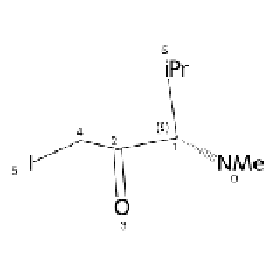 CN[C@H](C(=O)CI)C(C)C